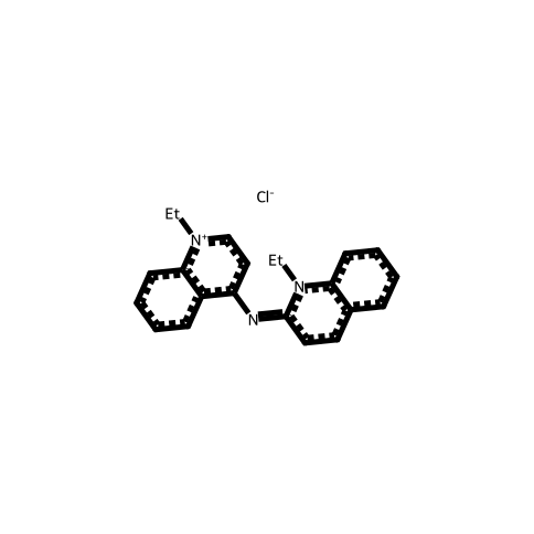 CCn1c(=Nc2cc[n+](CC)c3ccccc23)ccc2ccccc21.[Cl-]